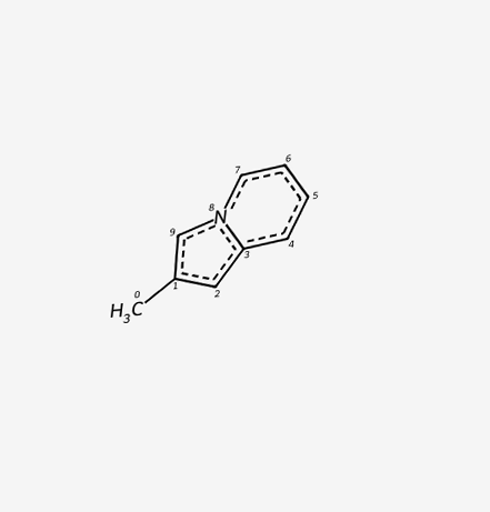 Cc1cc2ccccn2c1